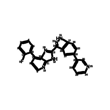 Fc1ccccc1-c1ccnc2[nH]c(-c3n[nH]c4ccc(-c5cccnc5)cc34)nc12